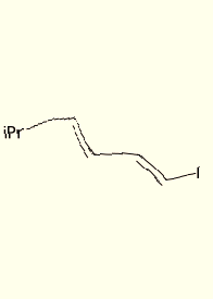 CC(C)/C=C/C=C/I